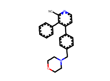 N#Cc1nccc(-c2ccc(CN3CCOCC3)cc2)c1-c1ccccc1